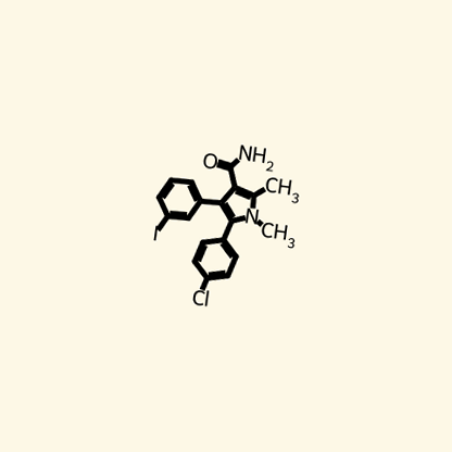 Cc1c(C(N)=O)c(-c2cccc(I)c2)c(-c2ccc(Cl)cc2)n1C